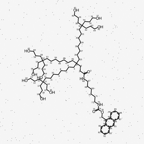 O=C(CCC(CCCCCCCCC(CCO)(CCCO)CCCO)(CCCCCCCCC(CCCO)(CCCO)CCCO)CCCCCCCC(CCCO)(CCCO)CCCO)NCCCCCCNC(=O)OCc1c2ccccc2cc2ccccc12